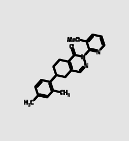 COc1cccnc1-n1ncc2c(c1=O)CCC(c1ccc(C)cc1C)C2